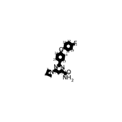 NC(=O)c1cc(N2CCC2)nc(-c2ccc(Oc3ccc(F)cc3)cc2)n1